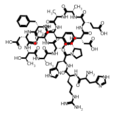 C[C@H](NC(=O)[C@H](C)NC(=O)[C@H](CCC(=O)O)NC(=O)[C@H](CC(=O)O)NC(=O)[C@@H]1CCCN1C(=O)[C@H](Cc1c[nH]cn1)NC(=O)[C@H](CCCNC(=N)N)NC(=O)[C@@H](N)Cc1c[nH]cn1)C(=O)N[C@@H](Cc1ccccc1)C(=O)N[C@@H](Cc1ccccc1)C(=O)N[C@@H](CC(=O)O)C(=O)N[C@H](C(=O)N[C@@H](C)C(=O)N[C@@H](CO)C(=O)N[C@H](C(=O)O)[C@@H](C)O)[C@@H](C)O